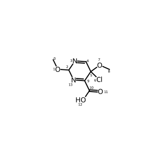 COC1N=CC(Cl)(OC)C(C(=O)O)=N1